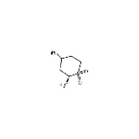 CC(C)C1CCS(=O)(=O)[C@@H](C)C1